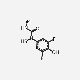 CC(C)NC(=O)N(S)c1cc(F)c(O)c(F)c1